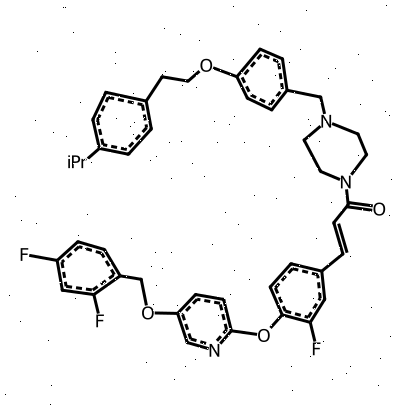 CC(C)c1ccc(CCOc2ccc(CN3CCN(C(=O)C=Cc4ccc(Oc5ccc(OCc6ccc(F)cc6F)cn5)c(F)c4)CC3)cc2)cc1